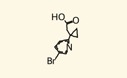 O=C(O)CC1(c2ccc(Br)cn2)CC1